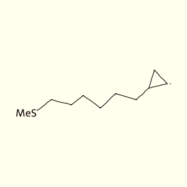 CSCCCCCCC1[CH]C1